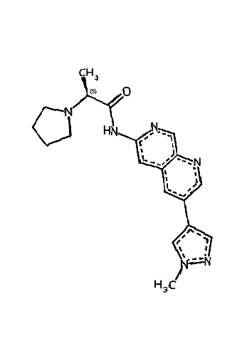 C[C@@H](C(=O)Nc1cc2cc(-c3cnn(C)c3)cnc2cn1)N1CCCC1